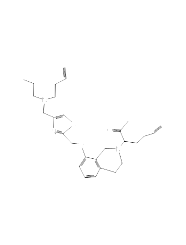 C=CCCC(C(C)=O)N1CCc2cccc(OCc3nc(CN(CCC)CCC=C)cs3)c2C1